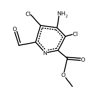 COC(=O)c1nc(C=O)c(Cl)c(N)c1Cl